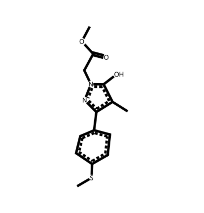 COC(=O)Cn1nc(-c2ccc(SC)cc2)c(C)c1O